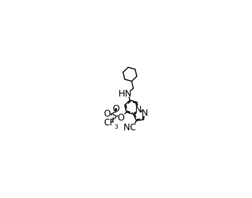 N#Cc1cnn2cc(NCC3CCCCC3)cc(OS(=O)(=O)C(F)(F)F)c12